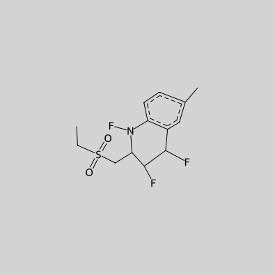 CCS(=O)(=O)CC1C(F)C(F)c2cc(C)ccc2N1F